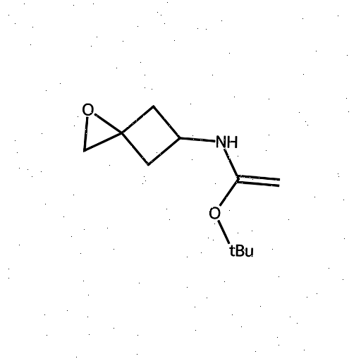 C=C(NC1CC2(CO2)C1)OC(C)(C)C